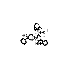 CC1(C)C2CCC1(C)[C@H](N(C(=O)O)[C@@](C)(Cc1c[nH]c3ccccc13)C(=O)N1CCC(O)(c3ccccc3)CC1)C2